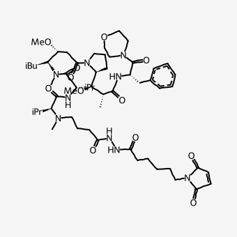 CC[C@H](C)[C@@H]([C@@H](CC(=O)N1CCC[C@H]1[C@H](OC)[C@@H](C)C(=O)N[C@@H](Cc1ccccc1)C(=O)N1CCOCC1)OC)N(C)C(=O)[C@@H](NC(=O)[C@H](C(C)C)N(C)CCCC(=O)NNC(=O)CCCCCN1C(=O)C=CC1=O)C(C)C